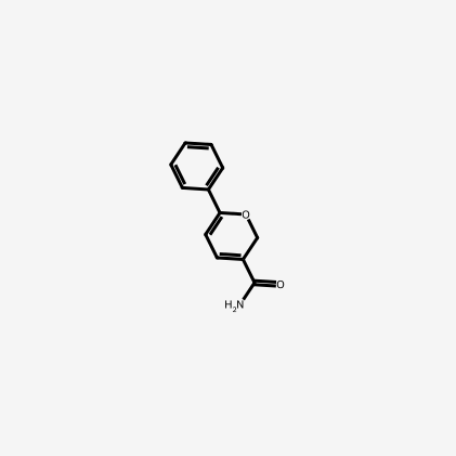 NC(=O)C1=CC=C(c2ccccc2)OC1